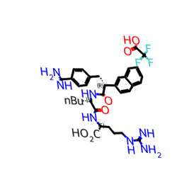 CCCC[C@H](NC(=O)[C@H](Cc1ccc(C(=N)N)cc1)c1ccc2ccccc2c1)C(=O)N[C@@H](CCCNC(=N)N)C(=O)O.O=C(O)C(F)(F)F